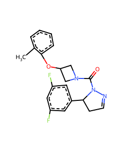 Cc1ccccc1OC1CN(C(=O)N2N=CCC2c2cc(F)cc(F)c2)C1